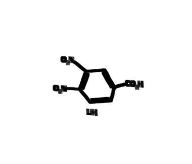 O=C(O)c1ccc([N+](=O)[O-])c([N+](=O)[O-])c1.[LiH]